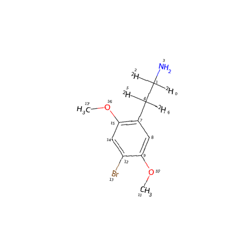 [2H]C([2H])(N)C([2H])([2H])c1cc(OC)c(Br)cc1OC